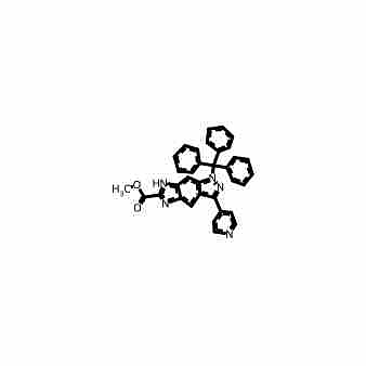 COC(=O)c1nc2cc3c(-c4ccncc4)nn(C(c4ccccc4)(c4ccccc4)c4ccccc4)c3cc2[nH]1